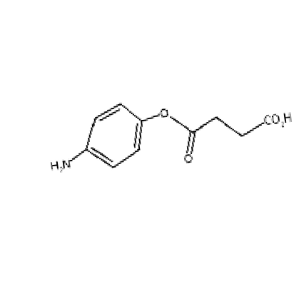 Nc1ccc(OC(=O)CCC(=O)O)cc1